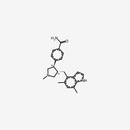 Cc1cc(C)c2[nH]ccc2c1C[C@@H]1CN(C)C[C@H]1c1ccc(C(N)=O)cc1